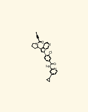 CC#CC(=O)N1CCCC1c1cc(-c2ccc(C(=O)Nc3cc(C4CC4)ccn3)cc2Cl)n2cnccc12